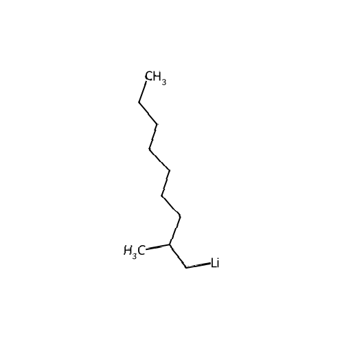 [Li][CH2]C(C)CCCCCCC